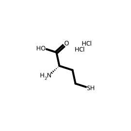 Cl.Cl.N[C@@H](CCS)C(=O)O